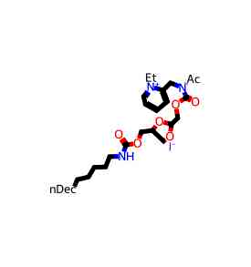 CCCCCCCCCCCCCCCNC(=O)OCC1COC(COC(=O)N(Cc2cccc[n+]2CC)C(C)=O)O1.[I-]